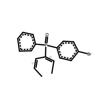 C/C=C\C(=C/C)P(=O)(c1ccccc1)c1ccc(Br)cc1